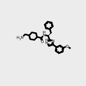 COc1cccc(-c2c[nH]c([C@H](Cc3ccccc3)NC(=O)C3CCC(CN)CC3)n2)c1